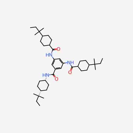 CCC(C)(C)C1CCC(C(=O)Nc2cc(NC(=O)C3CCC(C(C)(C)CC)CC3)cc(C(=O)N[C@H]3CC[C@@H](C(C)(C)CC)CC3)c2)CC1